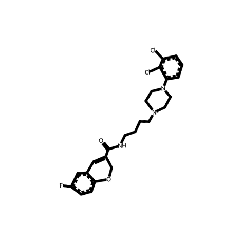 O=C(NCCCCN1CCN(c2cccc(Cl)c2Cl)CC1)C1=Cc2cc(F)ccc2OC1